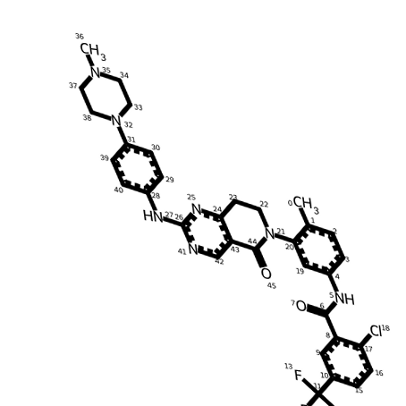 Cc1ccc(NC(=O)c2cc(C(F)(F)F)ccc2Cl)cc1N1CCc2nc(Nc3ccc(N4CCN(C)CC4)cc3)ncc2C1=O